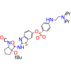 CC(C)N(CCNc1ccc(S(=O)(=O)Oc2ccc3nc(NC(=O)C4(OC(C)(C)C)CCCC4N=C=O)sc3c2)cc1)C(C)C